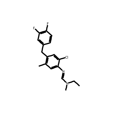 CCN(C)C=Nc1cc(C)c(Cc2ccc(F)c(F)c2)cc1Cl